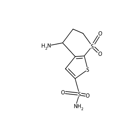 NC1CCS(=O)(=O)c2sc(S(N)(=O)=O)cc21